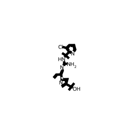 C=C/C(=C\N=C(/N)NC(C)(C)c1ncccc1Cl)n1cc(C(C)(C)O)cn1